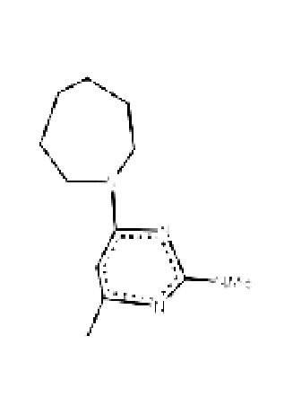 CNc1nc(C)cc(N2CCCCCC2)n1